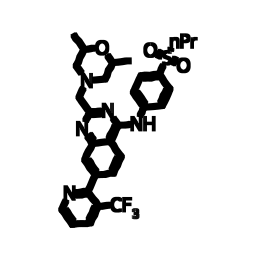 CCCS(=O)(=O)c1ccc(Nc2nc(CN3CC(C)OC(C)C3)nc3cc(-c4ncccc4C(F)(F)F)ccc23)cc1